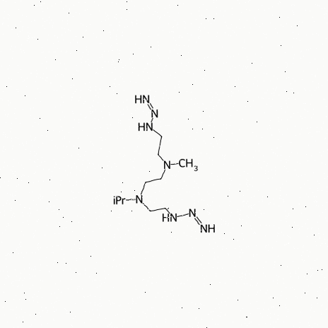 CC(C)N(CCNN=N)CCN(C)CCNN=N